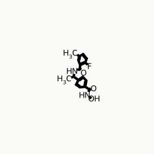 Cc1ccc(F)c(C(=O)NC(C)c2ccc(C(=O)NO)cc2)c1